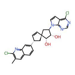 Cc1cc2ccc([C@@H]3C=C[C@]4(C3)C[C@@H](n3ccc5c(Cl)ncnc53)[C@H](O)[C@@H]4O)cc2nc1Cl